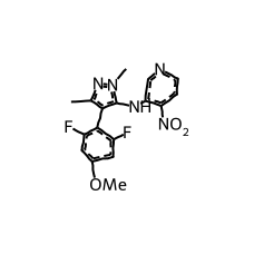 COc1cc(F)c(-c2c(C)nn(C)c2Nc2cnccc2[N+](=O)[O-])c(F)c1